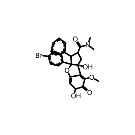 COC1=C2C(=CC(O)C1=O)OC1(c3ccc(Br)cc3)C(c3ccccc3)C(C(=O)N(C)C)CC21O